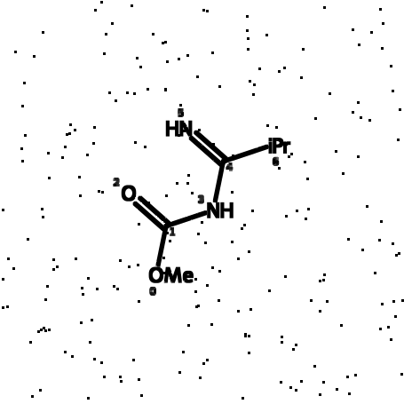 COC(=O)NC(=N)C(C)C